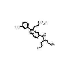 CC(C)CCN(CCC(C)C)C(=O)c1ccc2nc(-c3cccc(O)c3)c(CCC(=O)O)n2c1